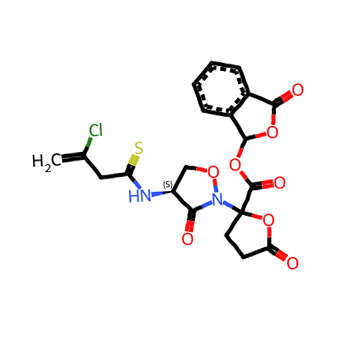 C=C(Cl)CC(=S)N[C@H]1CON(C2(C(=O)OC3OC(=O)c4ccccc43)CCC(=O)O2)C1=O